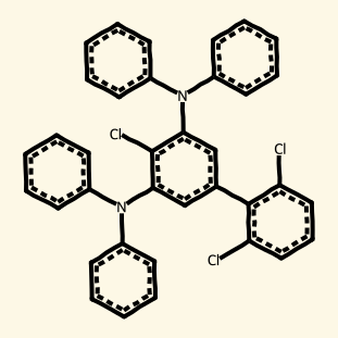 Clc1cccc(Cl)c1-c1cc(N(c2ccccc2)c2ccccc2)c(Cl)c(N(c2ccccc2)c2ccccc2)c1